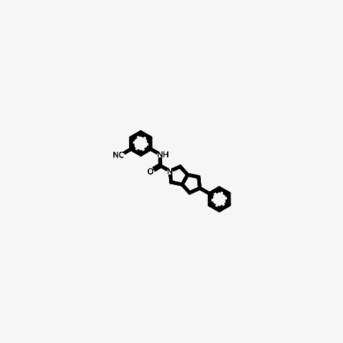 N#Cc1cccc(NC(=O)N2CC3CC(c4ccccc4)CC3C2)c1